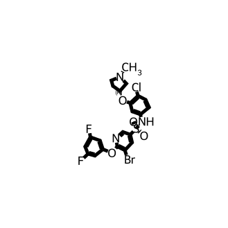 CN1CC[C@@H](Oc2cc(NS(=O)(=O)c3cnc(Oc4cc(F)cc(F)c4)c(Br)c3)ccc2Cl)C1